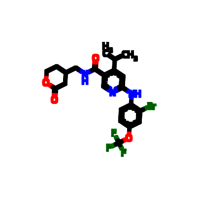 CC(C)c1cc(Nc2ccc(OC(F)(F)F)cc2Br)ncc1C(=O)NCC1CCOC(=O)C1